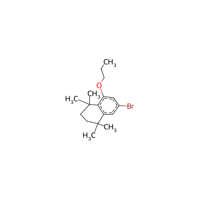 CCCOc1cc(Br)cc2c1C(C)(C)CCC2(C)C